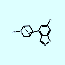 CC(=O)N1CC2CCC1CN2c1cc(Cl)cc2[nH]ncc12